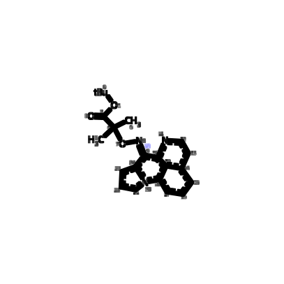 CC(C)(C)OC(=O)C(C)(C)O/N=c1/c2nccc3cccc(c32)n2cccc12